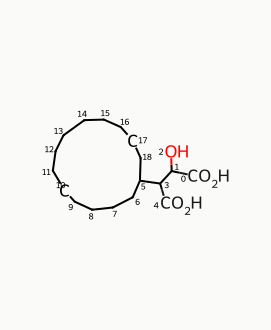 O=C(O)C(O)C(C(=O)O)C1CCCCCCCCCCCCC1